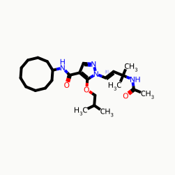 CC(=O)NC(C)(C)/C=C/n1ncc(C(=O)NC2CCCCCCCCC2)c1OCC(C)C